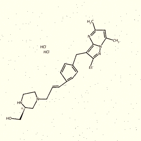 CCc1nn2c(C)cc(C)nc2c1Cc1ccc(C=CCN2CCN[C@H](CO)C2)cc1.Cl.Cl